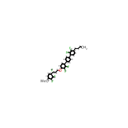 C=CCCc1ccc(-c2ccc(-c3ccc(OCCC(F)c4ccc(OC)c(F)c4F)c(F)c3F)cc2)c(F)c1F